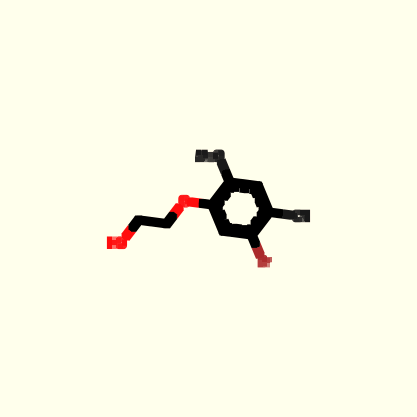 COc1cc(C#N)c(Br)cc1OCCO